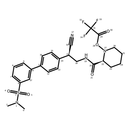 CN(C)S(=O)(=O)c1cccc(-c2ccc([C@@H](C#N)CNC(=O)[C@@H]3CCCCN3OC(=O)C(F)(F)F)cc2)c1